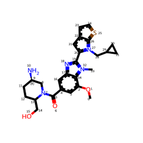 COc1cc(C(=O)N2C[C@H](N)CCC2CO)cc2nc(-c3cc4ccsc4n3CC3CC3)n(C)c12